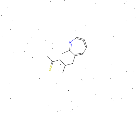 CC(=S)CC(C)CC1=CC=C=CN=C1C